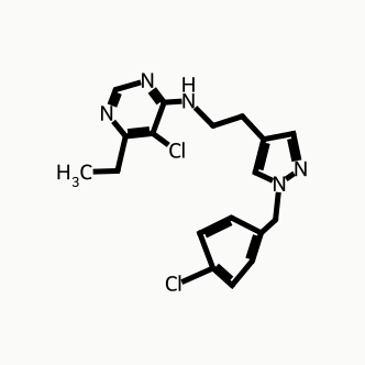 CCc1ncnc(NCCc2cnn(Cc3ccc(Cl)cc3)c2)c1Cl